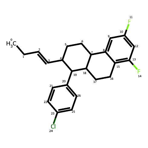 CCC=CC1CCC2c3cc(F)cc(F)c3CCC2C1c1ccc(Cl)cc1